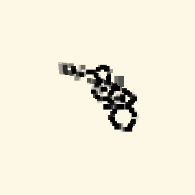 C[C@]12CCCCC1CC[C@@H]1[C@@H]2CC[C@]2(C)C(C(=O)O)CC[C@@H]12